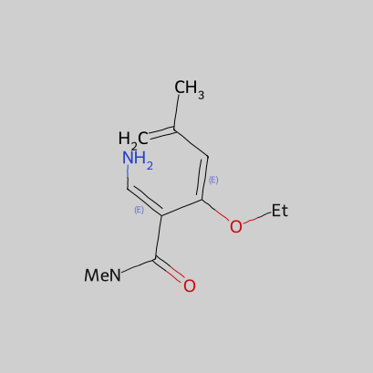 C=C(C)/C=C(OCC)\C(=C/N)C(=O)NC